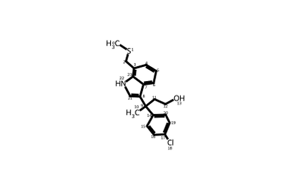 CSCc1cccc2c(C(C)(CCO)c3ccc(Cl)cc3)c[nH]c12